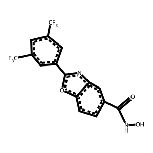 O=C(NO)c1ccc2oc(-c3cc(C(F)(F)F)cc(C(F)(F)F)c3)nc2c1